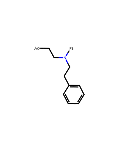 CCN(CCC(C)=O)CCc1ccccc1